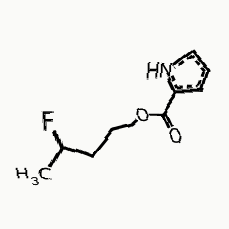 CC(F)CCCOC(=O)c1ccc[nH]1